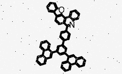 c1ccc2c(c1)cc(-c1cc(-c3ccc(-c4nc5ccccc5c5c4ccc4c6ccccc6oc45)cc3)cc(-c3cc4ccccc4c4ccccc34)c1)c1ccccc12